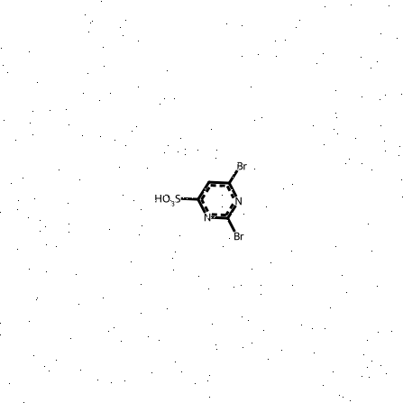 O=S(=O)(O)c1cc(Br)nc(Br)n1